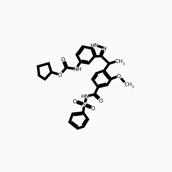 COc1cc(C(=O)NS(=O)(=O)c2ccccc2)ccc1C(C)c1n[nH]c2ccc(NC(=O)OC3CCCC3)cc12